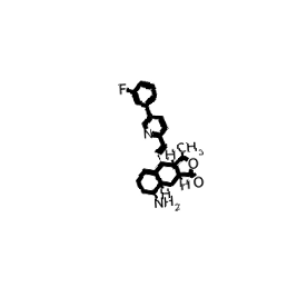 C[C@H]1OC(=O)[C@@H]2C[C@H]3C(CCC[C@@H]3N)[C@H](/C=C/c3ccc(-c4cccc(F)c4)cn3)[C@H]12